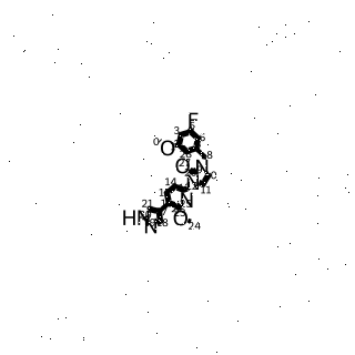 COc1cc(F)cc(Cn2ccn(-c3ccc(-c4cn[nH]c4)c(OC)n3)c2=O)c1